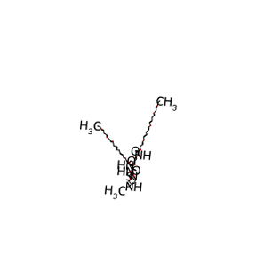 CCC=CCC=CCC=CCC=CCC=CCC=CCCC(=O)NCCCCC(NC(=O)CCCC=CCC=CCC=CCC=CCC=CCC)C(=O)Nc1nc2c(s1)CC(NCCC)CC2